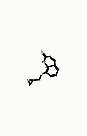 O=c1ccc2cccc(OCC3CO3)c2[nH]1